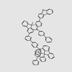 CC1(C)c2ccccc2-c2cc(-c3cccc(-c4ccc(N(c5ccc(-c6ccccc6)cc5)c5cccc6c5C(c5ccccc5)(c5ccccc5)c5ccccc5-6)cc4)c3)cc(N(c3ccc(-c4ccccc4)cc3)c3ccc(-c4ccc5oc6ccccc6c5c4)cc3)c21